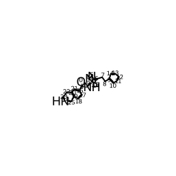 O=C(Nc1nnc(CCc2ccccc2)s1)c1ccc2c(c1)CCNC2